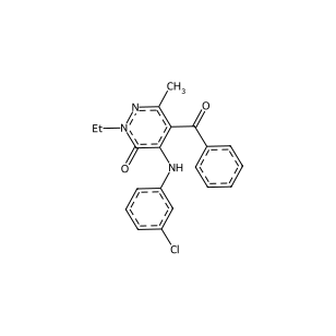 CCn1nc(C)c(C(=O)c2ccccc2)c(Nc2cccc(Cl)c2)c1=O